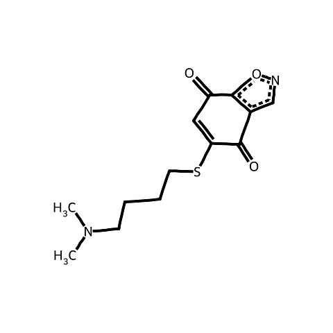 CN(C)CCCCSC1=CC(=O)c2oncc2C1=O